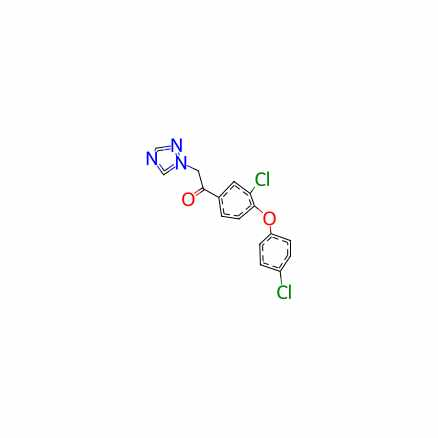 O=C(Cn1cncn1)c1ccc(Oc2ccc(Cl)cc2)c(Cl)c1